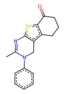 CC1=Nc2sc3c(c2CN1c1ccccc1)CCCC3=O